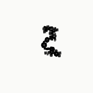 Cn1c(=O)n(C2CCC(=O)NC2=O)c2cccc(C#CCN3CCCN(C[C@H]4CC[C@H](n5cc(NC(=O)/C(C=N)=C6\N=C(N7C[C@H]8C[C@@H]7CO8)C=CN6)c(C(F)F)n5)CC4)CC3)c21